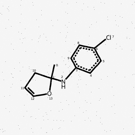 CC1(Nc2ccc(Cl)cc2)CC=CO1